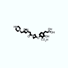 O=C(O)c1c(OC2CN(C(=O)Cn3cc(CN4CCNCC4)nn3)C2)ccc(CCB(O)O)c1O